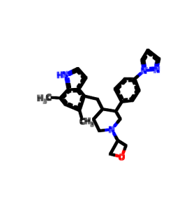 Cc1cc(C)c2[nH]ccc2c1CC1CCN(C2COC2)CC1c1ccc(-n2cccn2)cc1